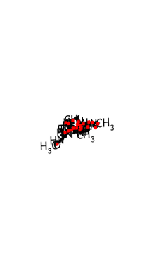 COCCNCc1cc(C(F)(F)F)c2oc(-c3cccc([C@]4(c5nncn5C)C[C@@H](CC5CC5c5cc(-c6ccc(F)cc6-c6nncn6C)cc(-c6nc7cc(CN8CCC[C@H](C)C8)cc(C(F)(F)F)c7o6)n5)C4)c3)nc2c1